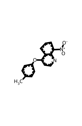 Cc1ccc(Oc2ccnc3c([N+](=O)[O-])cccc23)cc1